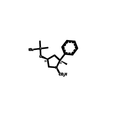 CC(C)(C)[Si](C)(C)O[C@@H]1CN(C(=O)O)[C@](C)(c2ccccc2)C1